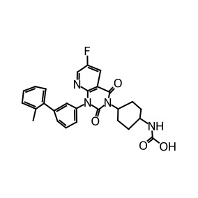 Cc1ccccc1-c1cccc(-n2c(=O)n(C3CCC(NC(=O)O)CC3)c(=O)c3cc(F)cnc32)c1